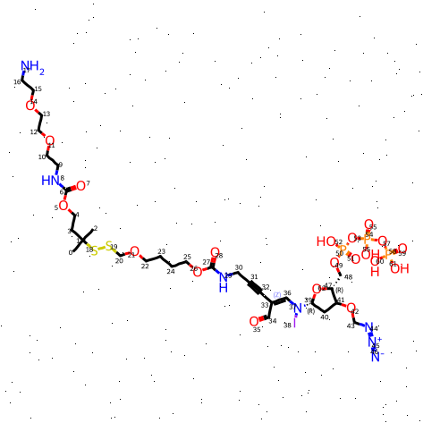 CC(C)(CCOC(=O)NCCOCCOCCN)SSCOCCCCOC(=O)NCC#C/C(C=O)=C/N(I)[C@H]1CC(OCN=[N+]=[N-])[C@@H](COP(=O)(O)OP(=O)(O)OP(=O)(O)O)O1